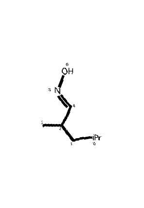 CC(C)CC(C)C=NO